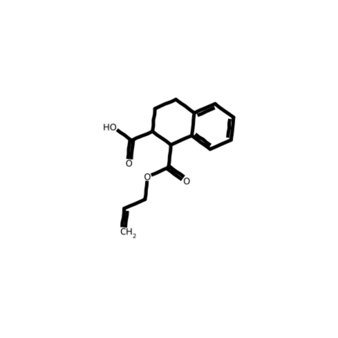 C=CCOC(=O)C1c2ccccc2CCC1C(=O)O